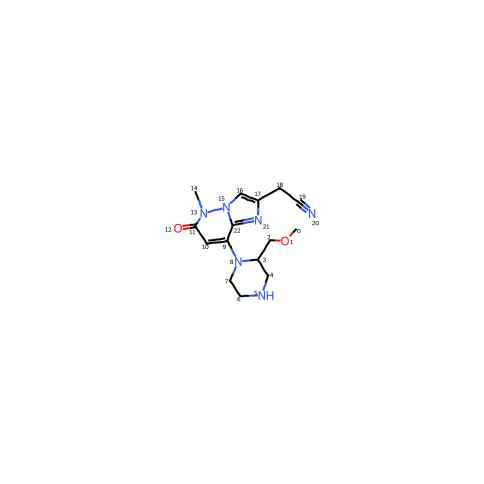 COCC1CNCCN1c1cc(=O)n(C)n2cc(CC#N)nc12